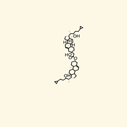 C[C@@H]([C@H]1CC[C@H]2[C@@H]3CC=C4C[C@](O)(CC(=O)O[C@@H]5CC[C@@]6(C)C(=CCC7C6CC[C@@]6(C)C7CC[C@@H]6[C@H](C)C(O)CCC6CC6)C5)CC[C@]4(C)[C@H]3CC[C@]12C)[C@@H](O)CCC1CC1